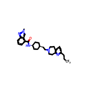 Cn1cc2c(C(=O)N[C@H]3CC[C@H](CCN4CCc5ccc(CCC(F)(F)F)nc5CC4)CC3)cccc2n1